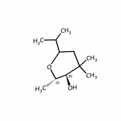 CC(C)C1CC(C)(C)[C@@H](O)[C@H](C)O1